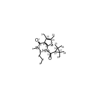 CCCCN(C)C(=O)c1c(NC(=O)C2C(C)(C)C2(C)C)sc(C)c1C